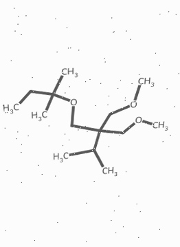 CCC(C)(C)OCC(COC)(COC)C(C)C